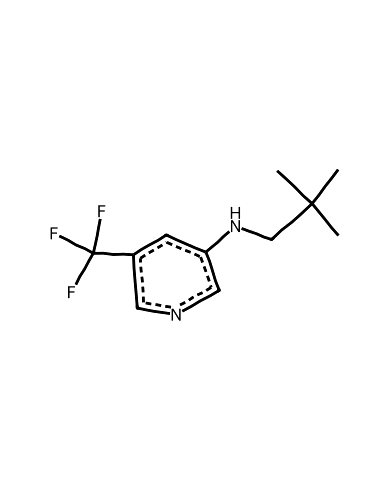 CC(C)(C)CNc1cncc(C(F)(F)F)c1